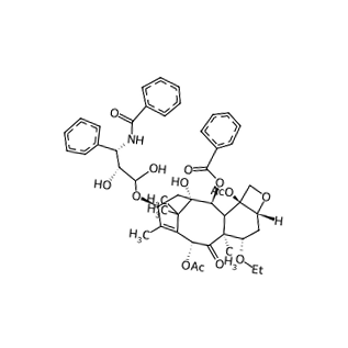 CCO[C@H]1C[C@H]2OC[C@@]2(OC(C)=O)C2[C@H](OC(=O)c3ccccc3)[C@]3(O)C[C@H](OC(O)[C@H](O)[C@@H](NC(=O)c4ccccc4)c4ccccc4)C(C)=C([C@@H](OC(C)=O)C(=O)[C@@]21C)C3(C)C